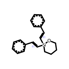 C(=C\[Si]1(/C=C/c2ccccc2)CCCCO1)/c1ccccc1